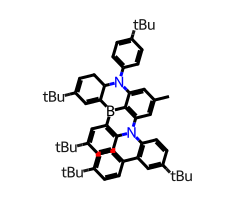 Cc1cc2c3c(c1)N(c1ccc(C(C)(C)C)cc1)C1CC=C(C(C)(C)C)C=C1B3c1cc(C(C)(C)C)ccc1N2c1ccc(C(C)(C)C)cc1-c1ccc(C(C)(C)C)cc1